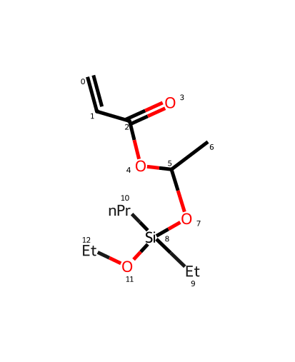 C=CC(=O)OC(C)O[Si](CC)(CCC)OCC